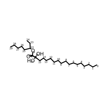 CCCCCCCCCCCCCCCCC(O)(O)C(=O)OC(CC)CCCCC